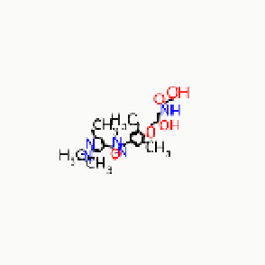 CCc1cc(-c2nc(-c3cc(C)c(OC[C@H](O)CNC(=O)CO)c(CC)c3)no2)cc(N(C)C)n1